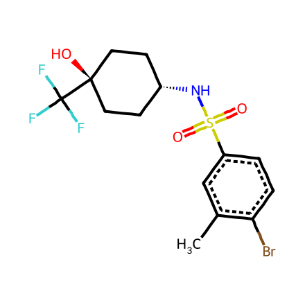 Cc1cc(S(=O)(=O)N[C@H]2CC[C@@](O)(C(F)(F)F)CC2)ccc1Br